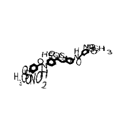 CS(=O)(=O)c1ccc(C(=O)Nc2ccc(C=Cc3ccc(NC(=O)c4ccc(S(C)(=O)=O)c([N+](=O)[O-])c4)cc3S(=O)(=O)O)c(S(=O)(=O)O)c2)cc1[N+](=O)[O-]